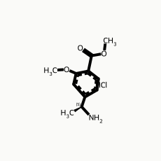 COC(=O)c1ccc([C@H](C)N)cc1OC.Cl